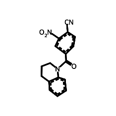 N#Cc1ccc(C(=O)N2CCCc3ccccc32)cc1[N+](=O)[O-]